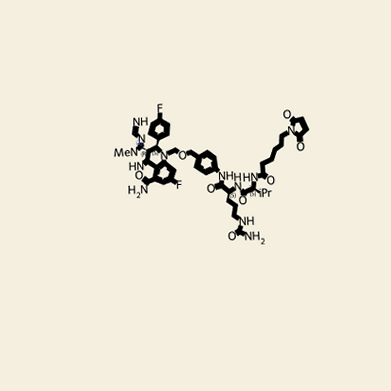 CN/C(=N\C=N)[C@H]1C(=N)c2c(C(N)=O)cc(F)cc2N(COCc2ccc(NC(=O)[C@H](CCCNC(N)=O)NC(=O)[C@@H](NC(=O)CCCCCN3C(=O)C=CC3=O)C(C)C)cc2)[C@@H]1c1ccc(F)cc1